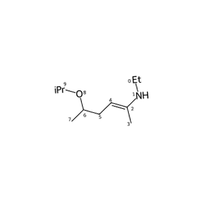 CCNC(C)=CCC(C)OC(C)C